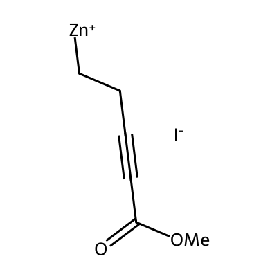 COC(=O)C#CC[CH2][Zn+].[I-]